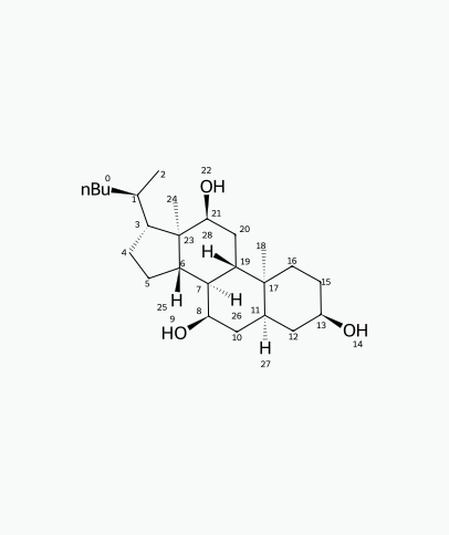 CCCC[C@@H](C)[C@H]1CC[C@H]2[C@@H]3[C@H](O)C[C@@H]4C[C@H](O)CC[C@]4(C)[C@H]3C[C@H](O)[C@]12C